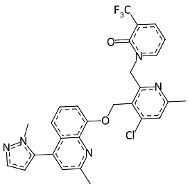 Cc1cc(Cl)c(COc2cccc3c(-c4ccnn4C)cc(C)nc23)c(Cn2cccc(C(F)(F)F)c2=O)n1